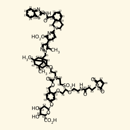 Cc1c(-c2ccc(N3CCc4cccc(C(=O)Nc5nc6ccccc6s5)c4C3)nc2C(=O)O)cnn1CC12CC3(C)CC(C)(C1)CC(OCCN(CCS(=O)(=O)O)C(=O)OCc1ccc(O[C@H]4C[C@@H](O)[C@H](O)[C@@H](C(=O)O)O4)cc1OCCOCCNC(=O)CCN1C(=O)C=CC1=O)(C3)C2